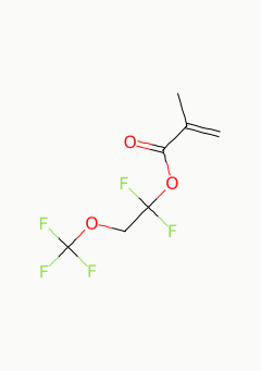 C=C(C)C(=O)OC(F)(F)COC(F)(F)F